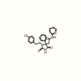 O=C(CC1(c2ccccc2)C(=O)NC(=S)N1CCc1ccc(Cl)cc1)Nc1ccccn1